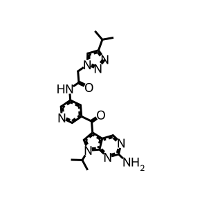 CC(C)c1cn(CC(=O)Nc2cncc(C(=O)c3cn(C(C)C)c4nc(N)ncc34)c2)nn1